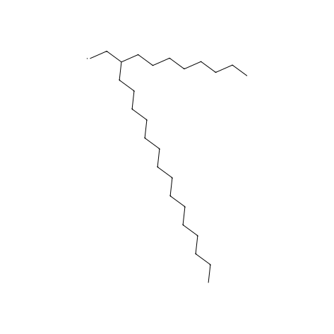 [CH2]CC(CCCCCCCC)CCCCCCCCCCCCCCC